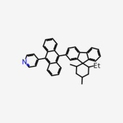 CCC1CC(C)CC(C)C12c1ccccc1-c1ccc(-c3c4ccccc4c(-c4ccncc4)c4ccccc34)cc12